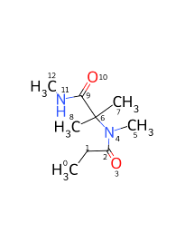 CCC(=O)N(C)C(C)(C)C(=O)NC